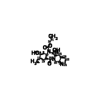 C=CCOC(=O)N1c2cc(O)c(C)cc2C(=O)N2Cc3ncccc3C[C@@H]2C1O